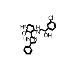 O=c1[nH]ccc(NC[C@@H](O)c2cccc(Cl)c2)c1-c1ncc(-c2ccccc2)[nH]1